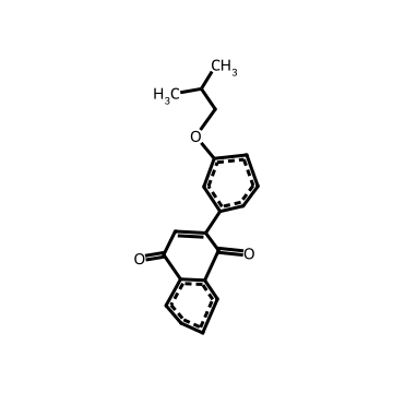 CC(C)COc1cccc(C2=CC(=O)c3ccccc3C2=O)c1